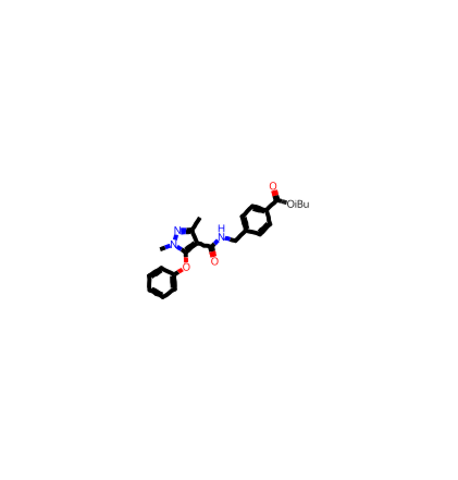 Cc1nn(C)c(Oc2ccccc2)c1C(=O)NCc1ccc(C(=O)OCC(C)C)cc1